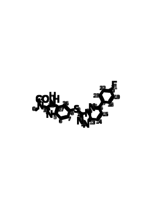 CN(C(=O)O)c1nc2ccc(Sc3nnc4ccc(-c5ccc(F)cc5)nn34)cc2[nH]1